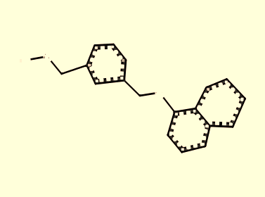 CC(C)NCc1cccc(COc2cccc3ccccc23)c1